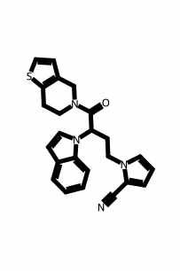 N#Cc1cccn1CCC(C(=O)N1CCc2sccc2C1)n1ccc2ccccc21